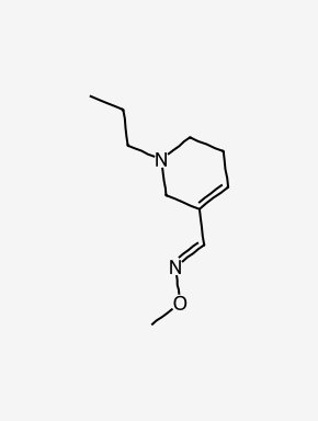 CCCN1CCC=C(C=NOC)C1